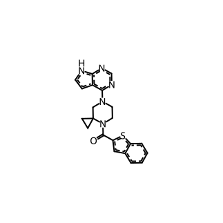 O=C(c1cc2ccccc2s1)N1CCN(c2ncnc3[nH]ccc23)CC12CC2